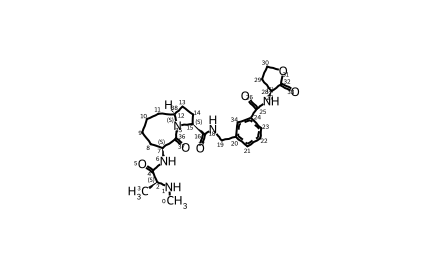 CN[C@@H](C)C(=O)N[C@H]1CCCC[C@H]2CC[C@@H](C(=O)NCc3cccc(C(=O)N[C@H]4CCOC4=O)c3)N2C1=O